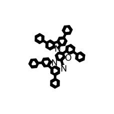 N#Cc1c(-n2c3ccc(-c4ccccc4)cc3c3cc(-c4ccccc4)ccc32)cc(-n2c3ccc(-c4ccccc4)cc3c3cc(-c4ccccc4)ccc32)c2c1oc1c(-c3ccccc3)cccc12